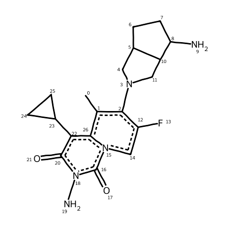 Cc1c(N2CC3CCC(N)C3C2)c(F)cn2c(=O)n(N)c(=O)c(C3CC3)c12